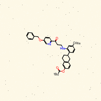 COc1ccc(C2CCc3cc(OC(=O)C(C)(C)C)ccc3C2)c(NCCC(=O)c2ccc(OCc3ccccc3)cn2)c1